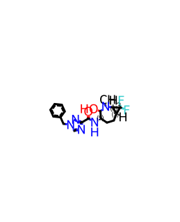 CN1C(O)[C@@H](NC(=O)c2ncn(Cc3ccccc3)n2)CC[C@H]2[C@@H]1C2(F)F